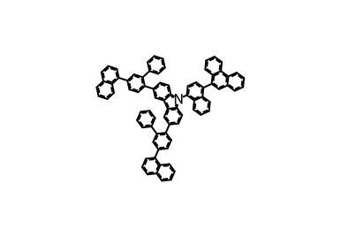 c1ccc(-c2cc(-c3cccc4ccccc34)ccc2-c2ccc3c(c2)c2cc(-c4ccc(-c5cccc6ccccc56)cc4-c4ccccc4)ccc2n3-c2ccc(-c3cc4ccccc4c4ccccc34)c3ccccc23)cc1